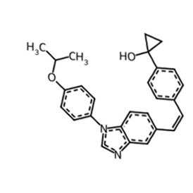 CC(C)Oc1ccc(-n2cnc3cc(/C=C\c4ccc(C5(O)CC5)cc4)ccc32)cc1